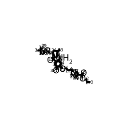 C=CCOC(=O)c1cn(CCCOc2cc(N)c(C(=O)N3CC(=C)C[C@H]3CO[Si](C)(C)C(C)(C)C)cc2OC)nn1